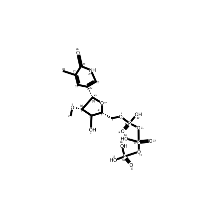 CO[C@H]1C(O)[C@@H](COP(=O)(O)OP(=O)(O)OP(=O)(O)O)O[C@H]1c1c[nH]c(=O)c(C)c1